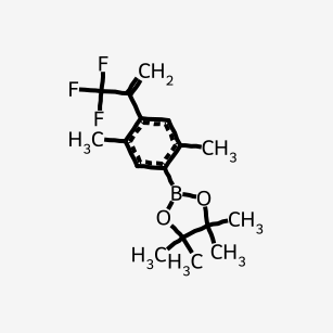 C=C(c1cc(C)c(B2OC(C)(C)C(C)(C)O2)cc1C)C(F)(F)F